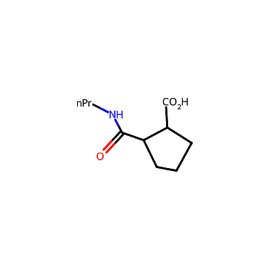 CCCNC(=O)C1CCCC1C(=O)O